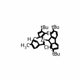 CCC1=[C]([Zr](=[C](C)c2ccc(C)cc2)[CH]2c3cc(C(C)(C)C)ccc3-c3ccc(C(C)(C)C)cc32)C(C)C=C1C(C)(C)C